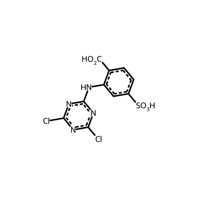 O=C(O)c1ccc(S(=O)(=O)O)cc1Nc1nc(Cl)nc(Cl)n1